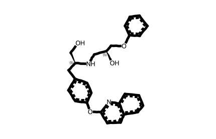 OC[C@H](Cc1ccc(Oc2ccc3ccccc3n2)cc1)NC[C@H](O)COc1ccccc1